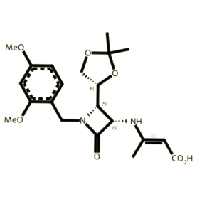 COc1ccc(CN2C(=O)[C@@H](N/C(C)=C/C(=O)O)[C@H]2[C@@H]2COC(C)(C)O2)c(OC)c1